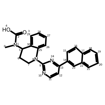 CN(C(=O)O)C1CCN(c2nccc(-c3ccc4ccccc4c3)n2)c2ccccc21